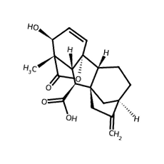 C=C1C[C@]23C[C@H]1CC[C@H]2[C@@]12C=C[C@H](O)[C@@](C)(C(=O)O1)[C@H]2[C@@H]3C(=O)O